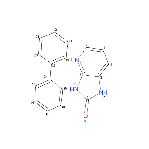 O=c1[nH]c2cccnc2[nH]1.c1ccc(-c2ccccc2)cc1